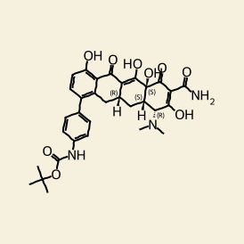 CN(C)[C@H]1C(O)=C(C(N)=O)C(=O)[C@@]2(O)C(O)=C3C(=O)c4c(O)ccc(-c5ccc(NC(=O)OC(C)(C)C)cc5)c4C[C@H]3C[C@@H]12